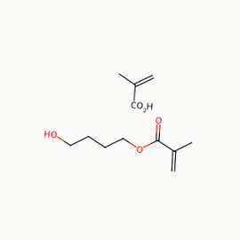 C=C(C)C(=O)O.C=C(C)C(=O)OCCCCO